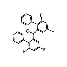 [O-][S+](c1cc(F)cc(F)c1-c1ccccc1)c1cc(F)cc(F)c1-c1ccccc1